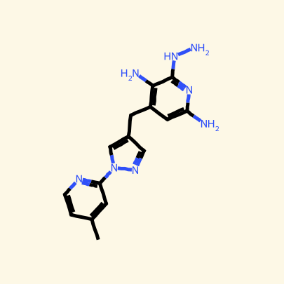 Cc1ccnc(-n2cc(Cc3cc(N)nc(NN)c3N)cn2)c1